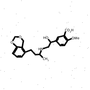 COc1ccc(C(O)CNC(C)CCc2cccc3c2COCO3)cc1C(=O)O